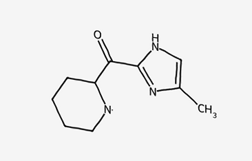 Cc1c[nH]c(C(=O)C2CCCC[N]2)n1